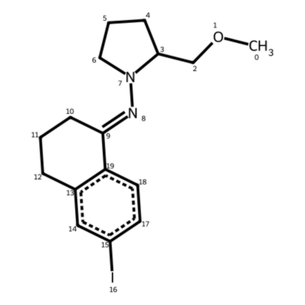 COCC1CCCN1N=C1CCCc2cc(I)ccc21